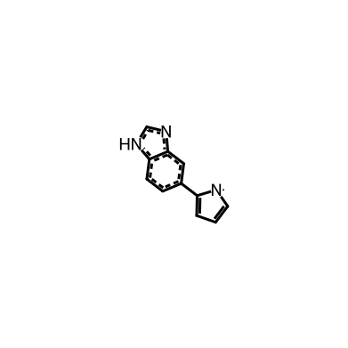 C1=C[N]C(c2ccc3[nH]cnc3c2)=C1